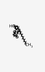 CCCCCCCCCCCC(CCN1C(=O)CCC1=O)Cc1ccc(O)cc1O